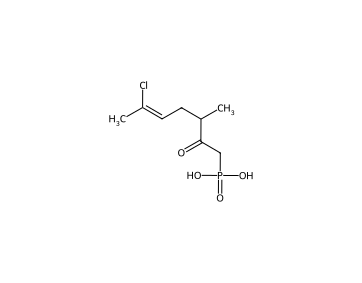 CC(Cl)=CCC(C)C(=O)CP(=O)(O)O